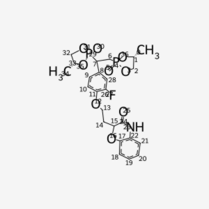 C[C@@H]1COP(=O)(CC(c2ccc(OCCC3Oc4ccccc4NC3=O)c(F)c2)P2(=O)OC[C@@H](C)O2)O1